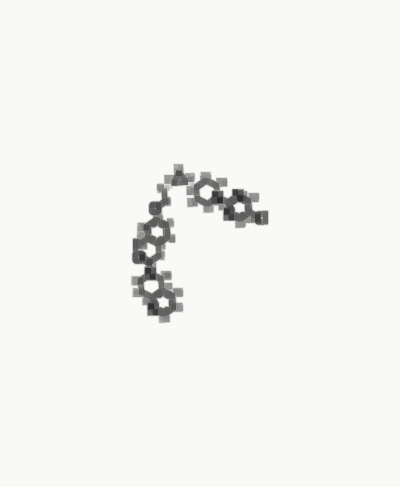 O=C(Cc1ccc(OCC[C@@H]2C[C@@H]2C2CCN(c3ncc(Cl)cn3)CC2)cc1F)N1CCc2ncccc2C1